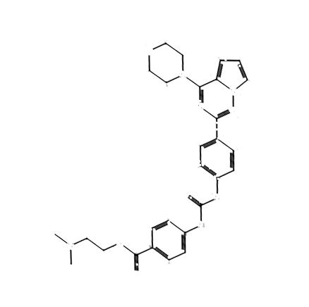 CN(C)CCNC(=O)c1ccc(NC(=O)Nc2ccc(-c3nc(N4CCOCC4)c4cccn4n3)cc2)cc1